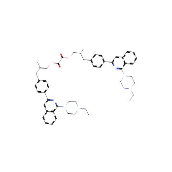 CCN1CCN(c2nc(-c3ccc(CC(C)COC(=O)C(=O)OCC(C)Cc4ccc(-c5cc6ccccc6c(N6CCN(CC)CC6)n5)cc4)cc3)cc3ccccc23)CC1